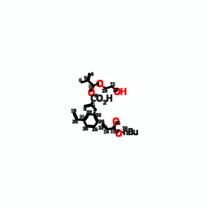 C=C(C)C(=O)O.C=C(C)C(=O)OCCO.C=CC(=O)OCCCC.C=Cc1ccccc1